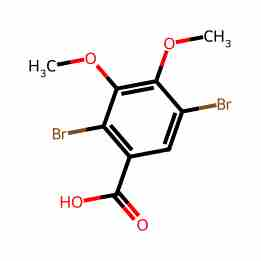 COc1c(Br)cc(C(=O)O)c(Br)c1OC